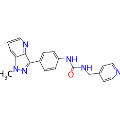 Cn1nc(-c2ccc(NC(=O)NCc3ccncc3)cc2)c2ncccc21